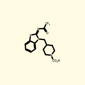 O=C(O)N1CCC(Cn2/c(=N\C(=O)C(F)(F)F)sc3ccccc32)CC1